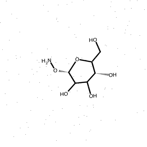 NO[C@@H]1OC(CO)[C@H](O)C(O)C1O